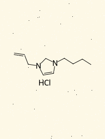 C=CCN1C=CN(CCCC)C1.Cl